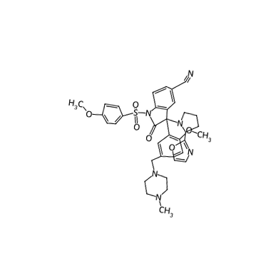 COc1ccc(S(=O)(=O)N2C(=O)C(c3cc(CN4CCN(C)CC4)ccc3OC)(N3CCCC3c3ncco3)c3cc(C#N)ccc32)cc1